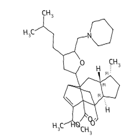 CC(C)CCC1CC(C23C[C@@H]4[C@H](C)CC[C@H]4C4(C=O)CC2C=C(C(C)C)C34C(=O)O)OC1CN1CCCCC1